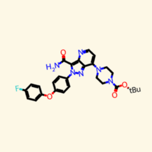 CC(C)(C)OC(=O)N1CCN(c2ccnc3c(C(N)=O)n(-c4ccc(Oc5ccc(F)cc5)cc4)nc23)CC1